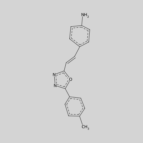 Cc1ccc(-c2nnc(C=Cc3ccc(N)cc3)o2)cc1